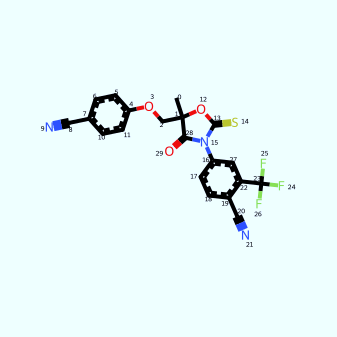 CC1(COc2ccc(C#N)cc2)OC(=S)N(c2ccc(C#N)c(C(F)(F)F)c2)C1=O